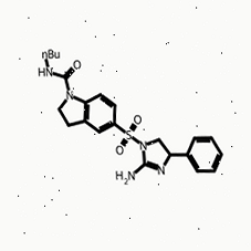 CCCCNC(=O)N1CCc2cc(S(=O)(=O)N3CC(c4ccccc4)N=C3N)ccc21